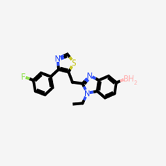 Bc1ccc2c(c1)nc(Cc1scnc1-c1cccc(F)c1)n2CC